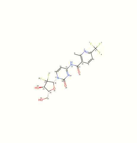 Cc1nc(C(F)(F)F)ccc1C(=O)Nc1ccn([C@@H]2O[C@H](CO)[C@@H](O)C2(F)F)c(=O)n1